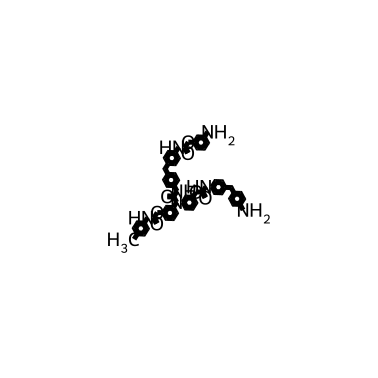 Cc1ccc(NC(=O)Oc2cccc(N(C(=O)Nc3ccc(Cc4ccc(NC(=O)Oc5cccc(N)c5)cc4)cc3)c3cccc(OC(=O)Nc4ccc(Cc5ccc(N)cc5)cc4)c3)c2)cc1